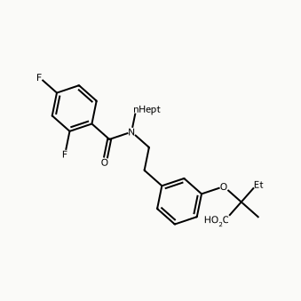 CCCCCCCN(CCc1cccc(OC(C)(CC)C(=O)O)c1)C(=O)c1ccc(F)cc1F